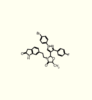 CC1OC(c2cn(-c3ccc(Br)cc3)nc2-c2ccc(F)cc2)N(CCc2ccc3c(c2)NC(=O)C3)C1=O